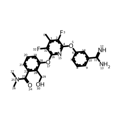 Cc1c(F)c(Oc2cccc(C(=N)N)c2)nc(Oc2cccc(C(=O)N(C)C)c2CO)c1F